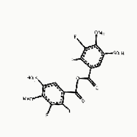 COc1c(S(=O)(=O)O)cc(C(=O)OC(=O)c2cc(S(=O)(=O)O)c(OC)c(F)c2F)c(F)c1F